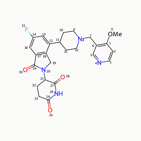 COc1ccncc1CN1CCC(c2cc(F)cc3c2CN(C2CCC(=O)NC2=O)C3=O)CC1